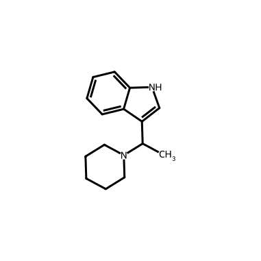 CC(c1c[nH]c2ccccc12)N1CCCCC1